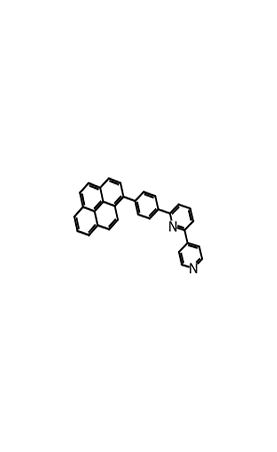 c1cc(-c2ccncc2)nc(-c2ccc(-c3ccc4ccc5cccc6ccc3c4c56)cc2)c1